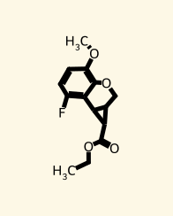 CCOC(=O)C1C2COc3c(OC)ccc(F)c3C21